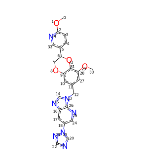 COc1ccc(C2COc3cc(Cn4cnc5cc(-n6cncn6)cnc54)cc(OC)c3O2)cn1